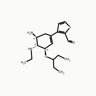 CCN[C@@H]1[C@@H](N)CC(c2ccsc2C=O)=C[C@H]1OC(CC)CC